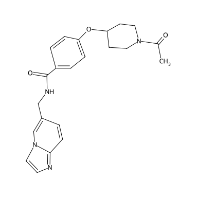 CC(=O)N1CCC(Oc2ccc(C(=O)NCc3ccc4nccn4c3)cc2)CC1